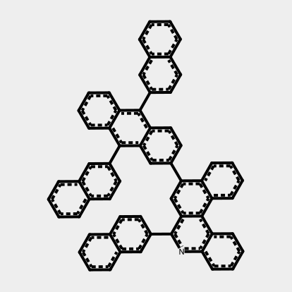 c1ccc2cc(-c3c4ccccc4c(-c4ccc5ccccc5c4)c4cc(-c5cc6c(-c7ccc8ccccc8c7)nc7ccccc7c6c6ccccc56)ccc34)ccc2c1